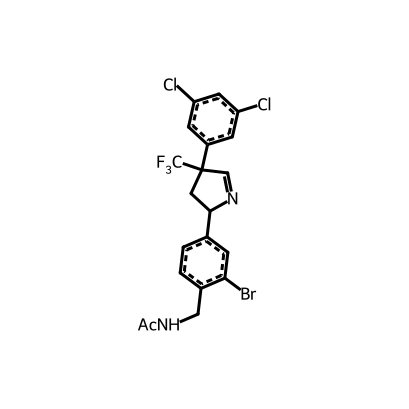 CC(=O)NCc1ccc(C2CC(c3cc(Cl)cc(Cl)c3)(C(F)(F)F)C=N2)cc1Br